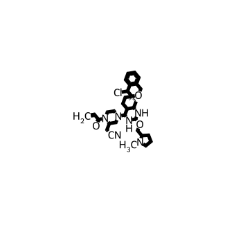 C=CC(=O)N1CCN(C2NC(OCC3CCCN3C)NC3C[C@@]4(CCC32)OCc2ccccc2C4Cl)CC1CC#N